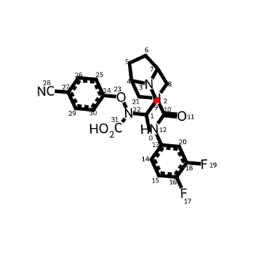 CC(CN1C2CCC1CN(C(=O)Nc1ccc(F)c(F)c1)C2)N(Oc1ccc(C#N)cc1)C(=O)O